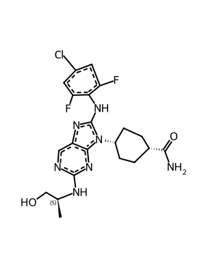 C[C@@H](CO)Nc1ncc2nc(Nc3c(F)cc(Cl)cc3F)n([C@H]3CC[C@@H](C(N)=O)CC3)c2n1